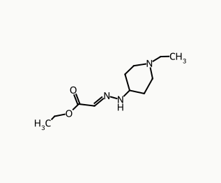 CCOC(=O)/C=N/NC1CCN(CC)CC1